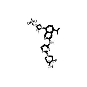 CC(C)c1ccc(N2C[C@@H](CS(C)(=O)=O)[C@H]2C)c2cnc(Nc3ccnc(N4CC[C@](C)(O)[C@H](F)C4)n3)cc12